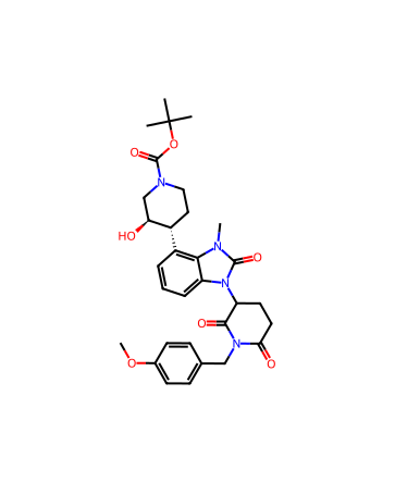 COc1ccc(CN2C(=O)CCC(n3c(=O)n(C)c4c([C@H]5CCN(C(=O)OC(C)(C)C)C[C@@H]5O)cccc43)C2=O)cc1